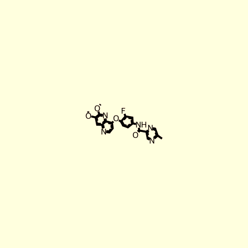 COc1cc2nccc(Oc3ccc(NC(=O)c4cnc(C)cn4)cc3F)c2nc1OC